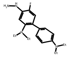 CCN(CC)c1ccc(-c2cc(F)c(NN)cc2N(CC)CC)cc1